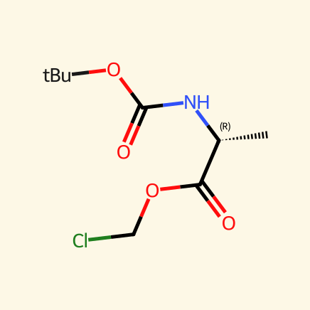 C[C@@H](NC(=O)OC(C)(C)C)C(=O)OCCl